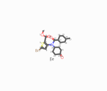 COC(=O)c1sc(Br)cc1N(C(=O)C1CCC(C)CC1)C1CCC(=O)CC1.[Fe]